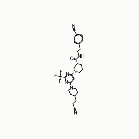 N#CCCC1CCN(c2cc(N3CCC[C@@H](C(=O)NCCc4ccc(C#N)cc4)C3)nc(C(F)(F)F)n2)CC1